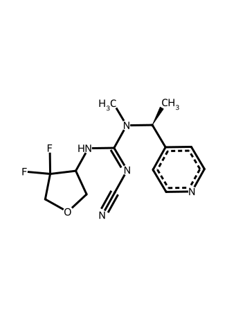 C[C@@H](c1ccncc1)N(C)C(=NC#N)NC1COCC1(F)F